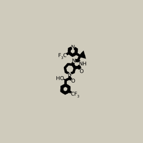 O=C([C@H](O)c1cccc(C(F)(F)F)c1)N1CCCc2nc(C3(c4cncc(C(F)(F)F)c4)CC3)[nH]c(=O)c2C1